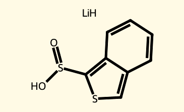 O=S(O)c1scc2ccccc12.[LiH]